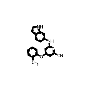 N#Cc1cc(Oc2ccccc2C(F)(F)F)cc(Nc2ccc3cc[nH]c3c2)n1